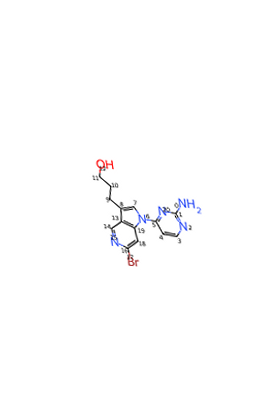 Nc1nccc(-n2cc(CCCO)c3cnc(Br)cc32)n1